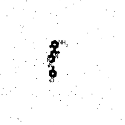 COc1ccc(CN(C)c2cc3nc(C)c(-c4cc(N)ccc4C)cc3cn2)cc1